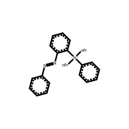 CCC[N+](CCC)(c1ccccc1)c1ccccc1N=Nc1ccccc1